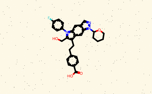 O=C(O)c1ccc(CCc2c(CO)n(-c3ccc(F)cc3)c3cc4cnn(C5CCCCO5)c4cc23)cc1